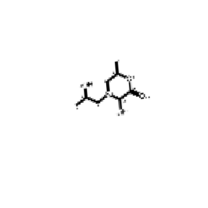 CC(O)CN1CC(C)OC(=O)C1C(C)C